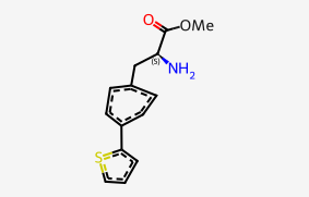 COC(=O)[C@@H](N)Cc1ccc(-c2cccs2)cc1